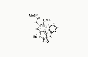 CCC(C)[C@@H](NS(=O)(=O)Cc1ccccc1)C(=O)N[C@@H](CCSC)C(=O)OC